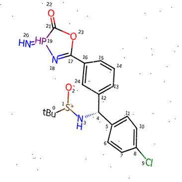 CC(C)(C)[S+]([O-])N[C@@H](c1ccc(Cl)cc1)c1cccc(C2=N[PH](=N)C(=O)O2)c1